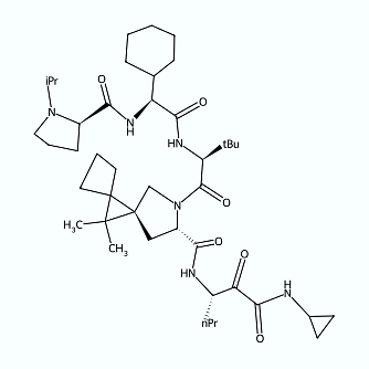 CCC[C@H](NC(=O)[C@@H]1C[C@@]2(CN1C(=O)[C@@H](NC(=O)[C@@H](NC(=O)[C@H]1CCCN1C(C)C)C1CCCCC1)C(C)(C)C)C(C)(C)C21CCC1)C(=O)C(=O)NC1CC1